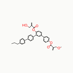 C=C(COC)C(=O)Oc1ccc(-c2ccc(OC(=O)C(=C)CO)c(-c3ccc(-c4ccc(CCC)cc4)cc3)c2)cc1